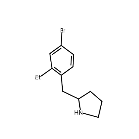 CCc1cc(Br)ccc1CC1CCCN1